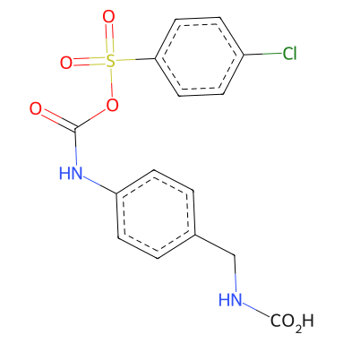 O=C(O)NCc1ccc(NC(=O)OS(=O)(=O)c2ccc(Cl)cc2)cc1